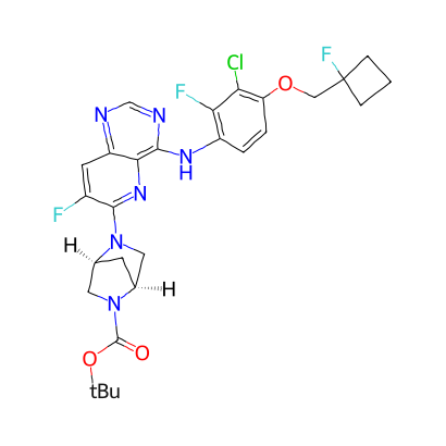 CC(C)(C)OC(=O)N1C[C@@H]2C[C@H]1CN2c1nc2c(Nc3ccc(OCC4(F)CCC4)c(Cl)c3F)ncnc2cc1F